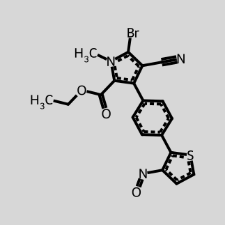 CCOC(=O)c1c(-c2ccc(-c3sccc3N=O)cc2)c(C#N)c(Br)n1C